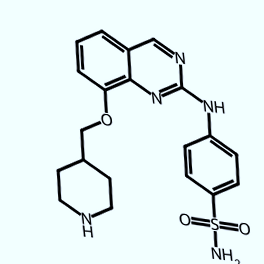 NS(=O)(=O)c1ccc(Nc2ncc3cccc(OCC4CCNCC4)c3n2)cc1